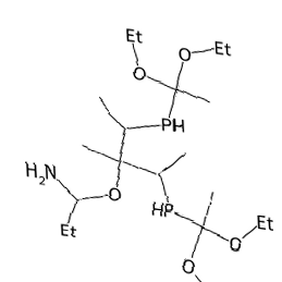 CCOC(C)(OCC)PC(C)C(C)(OC(N)CC)C(C)PC(C)(OCC)OCC